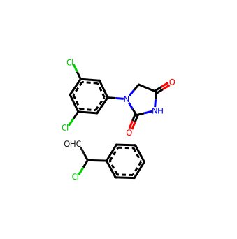 O=C1CN(c2cc(Cl)cc(Cl)c2)C(=O)N1.O=CC(Cl)c1ccccc1